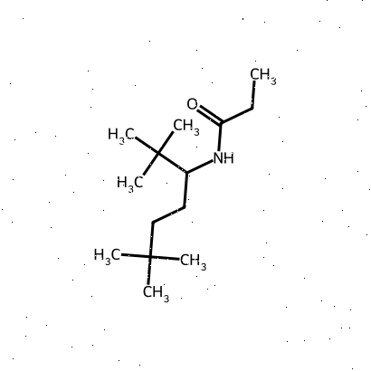 CCC(=O)NC(CCC(C)(C)C)C(C)(C)C